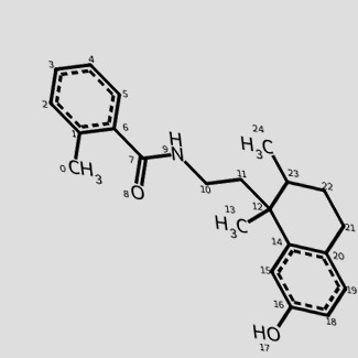 Cc1ccccc1C(=O)NCCC1(C)c2cc(O)ccc2CCC1C